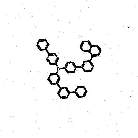 c1ccc(-c2ccc(N(c3ccc(-c4cccc(-c5cccc6ccccc56)c4)cc3)c3cccc(-c4cccc(-c5ccccc5)c4)c3)cc2)cc1